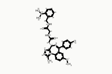 COc1ccc2c(c1)C(c1ccc(Cl)cc1)=N[C@@H](CC(=O)NCC(=O)NCc1ccccc1B(O)O)c1nnc(C)n1-2